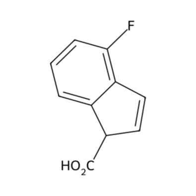 O=C(O)C1C=Cc2c(F)cccc21